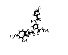 COC(=O)[C@@H]1C[C@@H](NC(=O)c2ccc(Cl)s2)CN1C(=O)c1nc2c(s1)CCN(C)CC2C